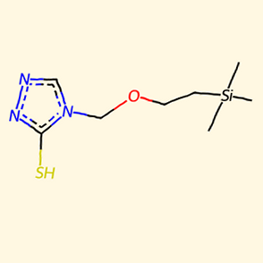 C[Si](C)(C)CCOCn1cnnc1S